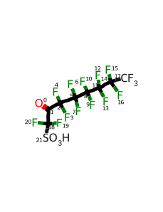 O=C(C(F)(F)C(F)(F)C(F)(F)C(F)(F)C(F)(F)C(F)(F)F)C(F)(F)S(=O)(=O)O